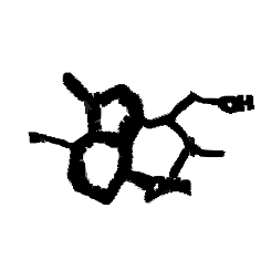 COc1ccc(Br)c2c1c(C(CO)N(C)C)cn2C